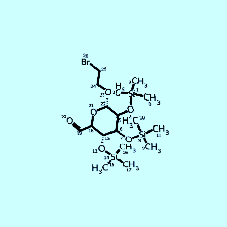 C[Si](C)(C)OC1C(O[Si](C)(C)C)[C@H](O[Si](C)(C)C)C(C=O)O[C@@H]1OCCBr